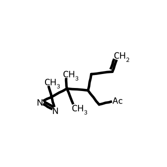 C=CCC(CC(C)=O)C(C)(C)C1(C)N=N1